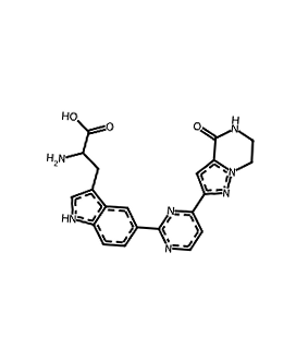 NC(Cc1c[nH]c2ccc(-c3nccc(-c4cc5n(n4)CCNC5=O)n3)cc12)C(=O)O